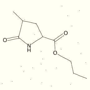 CCCOC(=O)C1CC(C)C(=O)N1